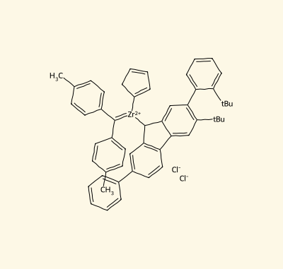 Cc1ccc([C](c2ccc(C)cc2)=[Zr+2]([C]2=CC=CC2)[CH]2c3cc(-c4ccccc4)ccc3-c3cc(C(C)(C)C)c(-c4ccccc4C(C)(C)C)cc32)cc1.[Cl-].[Cl-]